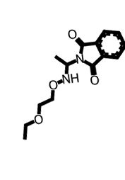 CCOCCONC(C)N1C(=O)c2ccccc2C1=O